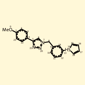 COc1ccc(-c2cn(Cc3cccc([SH]4C=CC=C4)c3)nn2)cc1